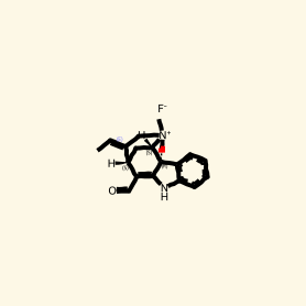 C/C=C1/C[N+]2(C)CC[C@]34C(=C(C=O)[C@H]1C[C@@H]32)Nc1ccccc14.[F-]